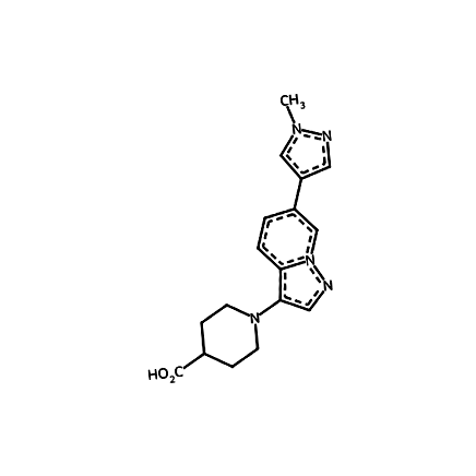 Cn1cc(-c2ccc3c(N4CCC(C(=O)O)CC4)cnn3c2)cn1